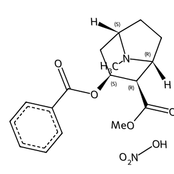 COC(=O)[C@H]1[C@@H](OC(=O)c2ccccc2)C[C@@H]2CC[C@H]1N2C.O=[N+]([O-])O